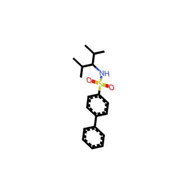 CC(C)C(NS(=O)(=O)c1ccc(-c2ccccc2)cc1)C(C)C